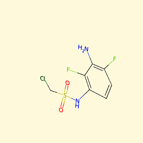 Nc1c(F)ccc(NS(=O)(=O)CCl)c1F